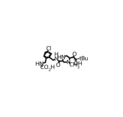 CN1CC(C(=O)NCc2cc(Cl)ccc2CNC(=O)O)NCC1C(=O)[C@H](O)C(C)(C)C